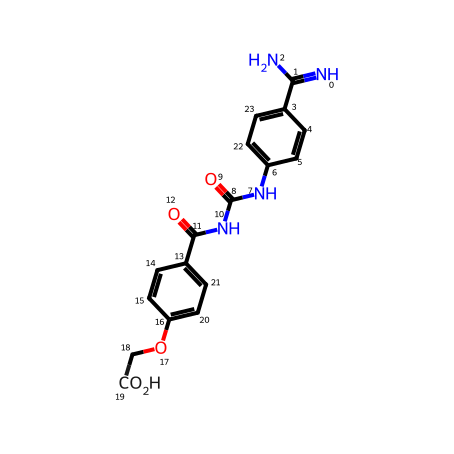 N=C(N)c1ccc(NC(=O)NC(=O)c2ccc(OCC(=O)O)cc2)cc1